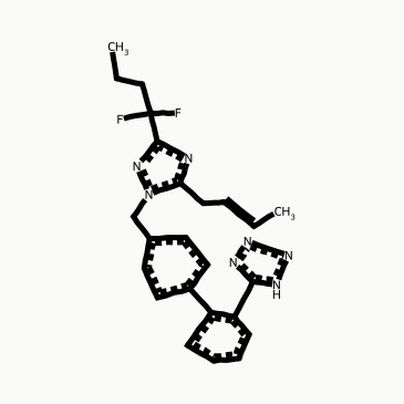 CC=CCc1nc(C(F)(F)CCC)nn1Cc1ccc(-c2ccccc2-c2nnn[nH]2)cc1